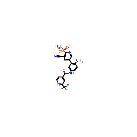 Cc1ccc(NC(=O)c2ccnc(C(F)(F)F)c2)cc1-c1cnc(S(C)(=O)=O)c(C#N)c1